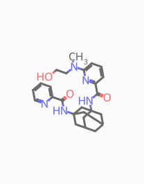 CN(CCO)c1cccc(C(=O)NC23CC4CC(CC(NC(=O)c5ccccn5)(C4)C2)C3)n1